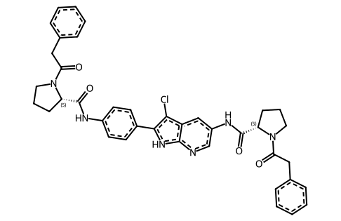 O=C(Nc1ccc(-c2[nH]c3ncc(NC(=O)[C@@H]4CCCN4C(=O)Cc4ccccc4)cc3c2Cl)cc1)[C@@H]1CCCN1C(=O)Cc1ccccc1